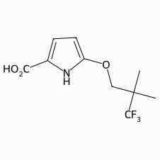 CC(C)(COc1ccc(C(=O)O)[nH]1)C(F)(F)F